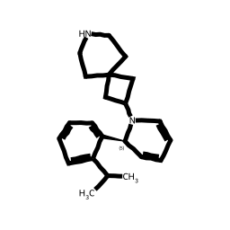 CC(C)c1ccccc1[C@@H]1C=CC=CN1C1CC2(CCNCC2)C1